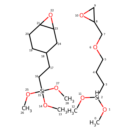 CO[SiH](CCCOCC1CO1)OC.CO[Si](CCC1CCC2OC2C1)(OC)OC